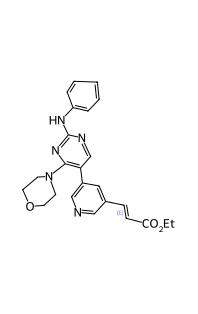 CCOC(=O)/C=C/c1cncc(-c2cnc(Nc3ccccc3)nc2N2CCOCC2)c1